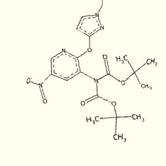 CCn1ccc(Oc2ncc([N+](=O)[O-])cc2N(C(=O)OC(C)(C)C)C(=O)OC(C)(C)C)n1